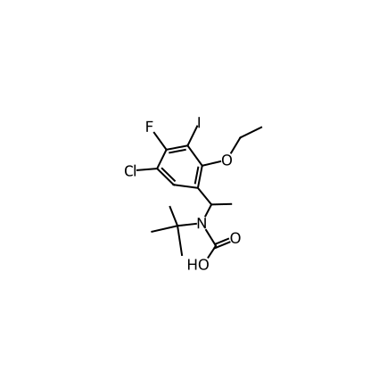 CCOc1c(C(C)N(C(=O)O)C(C)(C)C)cc(Cl)c(F)c1I